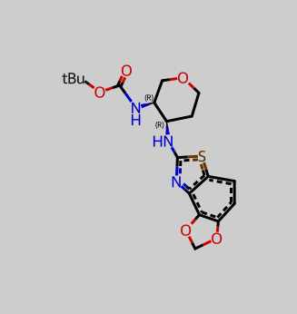 CC(C)(C)OC(=O)N[C@H]1COCC[C@H]1Nc1nc2c3c(ccc2s1)OCO3